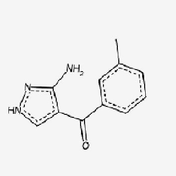 Cc1cccc(C(=O)c2c[nH]nc2N)c1